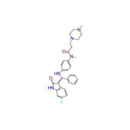 CN1CCN(CCC(=O)N(C)c2ccc(N/C(=C3\C(=O)Nc4cc(F)ccc43)c3ccccc3)cc2)CC1